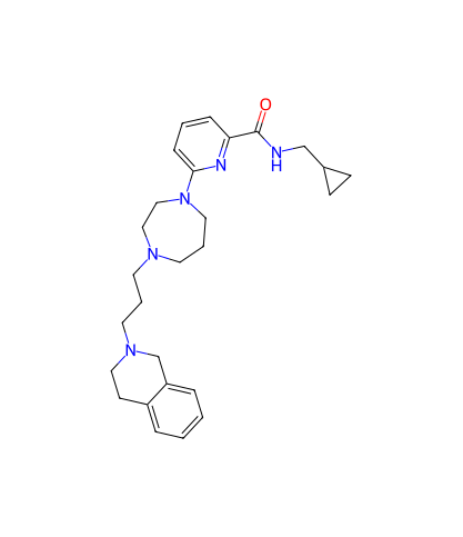 O=C(NCC1CC1)c1cccc(N2CCCN(CCCN3CCc4ccccc4C3)CC2)n1